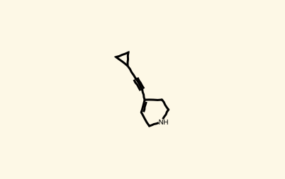 C(#CC1CC1)C1=CCNCC1